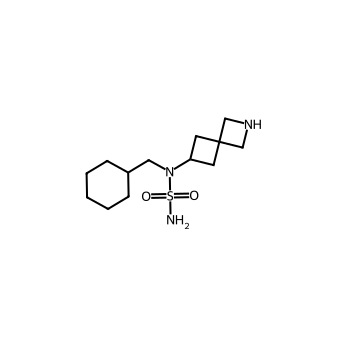 NS(=O)(=O)N(CC1CCCCC1)C1CC2(CNC2)C1